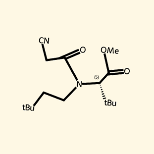 COC(=O)[C@@H](N(CCC(C)(C)C)C(=O)CC#N)C(C)(C)C